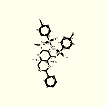 CO[C@H]1O[C@@H]2COC(c3ccccc3)O[C@@H]2[C@H](OS(=O)(=O)c2ccc(C)cc2)[C@H]1OS(=O)(=O)c1ccc(C)cc1